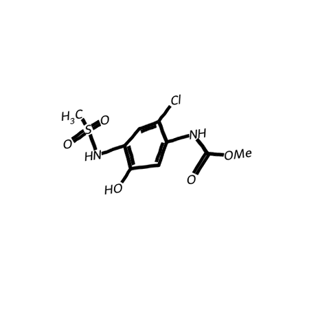 COC(=O)Nc1cc(O)c(NS(C)(=O)=O)cc1Cl